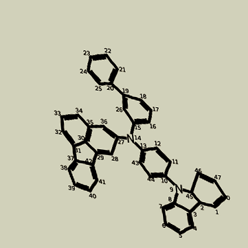 C1=CC2c3ccccc3N(c3ccc(N(c4cccc(-c5ccccc5)c4)c4cc5c6c(cccc6c4)-c4ccccc4-5)cc3)C2C=C1